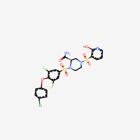 NC(=O)[C@H]1CN(S(=O)(=O)c2cccnc2O)CCN1S(=O)(=O)c1cc(F)c(Oc2ccc(Cl)cc2)c(F)c1